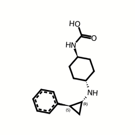 O=C(O)N[C@H]1CC[C@H](N[C@@H]2C[C@H]2c2ccccc2)CC1